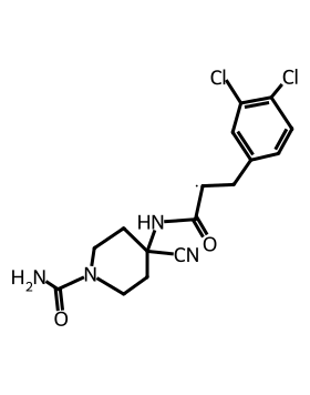 N#CC1(NC(=O)[CH]Cc2ccc(Cl)c(Cl)c2)CCN(C(N)=O)CC1